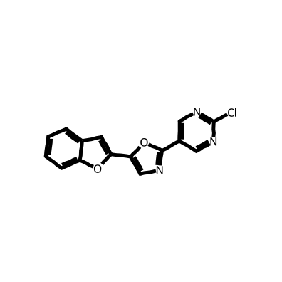 Clc1ncc(-c2ncc(-c3cc4ccccc4o3)o2)cn1